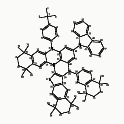 CC(C)(C)c1ccc(N2c3cc4c(cc3B3c5sc6cc7c(cc6c5N(c5ccc6c(c5)C(C)(C)CCC6(C)C)c5cc(-n6c8ccccc8c8ccccc86)cc2c53)C(C)(C)CCC7(C)C)C(C)(C)CCC4(C)C)cc1